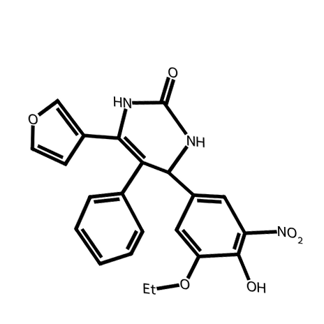 CCOc1cc(C2NC(=O)NC(c3ccoc3)=C2c2ccccc2)cc([N+](=O)[O-])c1O